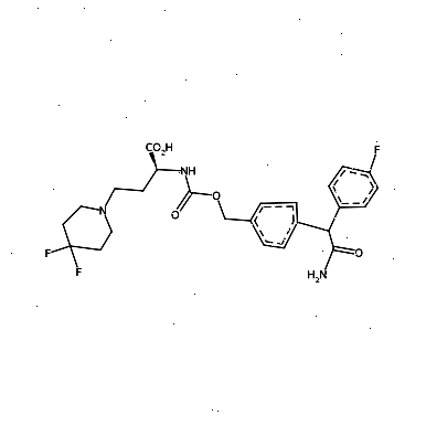 NC(=O)C(c1ccc(F)cc1)c1ccc(COC(=O)N[C@@H](CCN2CCC(F)(F)CC2)C(=O)O)cc1